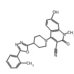 Cc1ccccc1-c1nnc(C2CCN(c3c(C#N)c(=O)n(C)c4cc(O)ccc34)CC2)o1